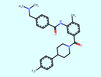 Cc1ccc(C(=O)N2CCC(c3ccc(C(F)(F)F)cc3)CC2)cc1NC(=O)c1ccc(CN(C)C)cc1